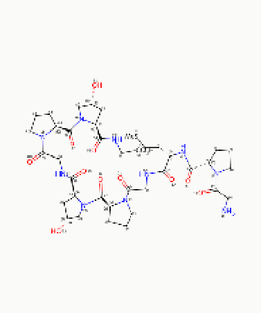 CSCC[C@H](NC(=O)[C@@H]1CCCN1C(=O)CN)C(=O)NCC(=O)N1CCC[C@H]1C(=O)N1C[C@H](O)C[C@H]1C(=O)NCC(=O)N1CCC[C@H]1C(=O)N1C[C@H](O)C[C@H]1C(=O)NCC(=O)O